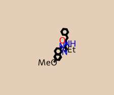 CCc1nc2c(nc1NC(=O)CC1CCCCC1)CCc1cc(OC)ccc1-2